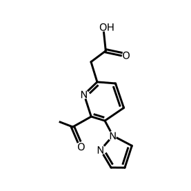 CC(=O)c1nc(CC(=O)O)ccc1-n1cccn1